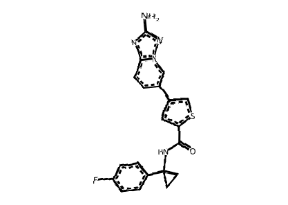 Nc1nc2ccc(-c3csc(C(=O)NC4(c5ccc(F)cc5)CC4)c3)cn2n1